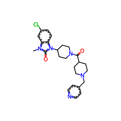 Cn1c(=O)n(C2CCN(C(=O)C3CCN(Cc4ccncc4)CC3)CC2)c2ccc(Cl)cc21